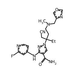 CCC(CC#N)(CCN(C)Cc1cocn1)n1cc(C(N)=O)c(Nc2ccnc(F)c2)n1